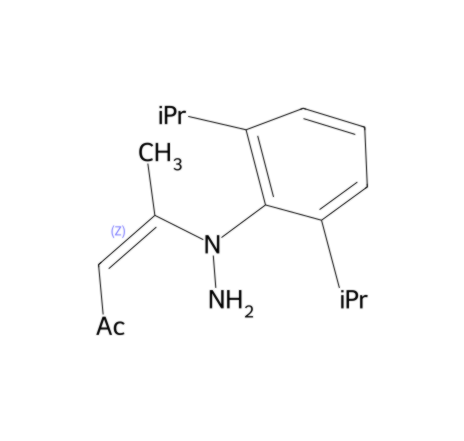 CC(=O)/C=C(/C)N(N)c1c(C(C)C)cccc1C(C)C